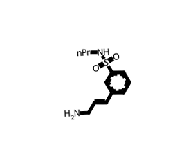 CCCNS(=O)(=O)c1cccc(C=CCN)c1